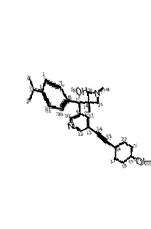 CC(C)c1ccc([C@](O)(c2cncc(C#CC3CCC(O)CC3)c2)C2(C)CN(C)C2)cc1